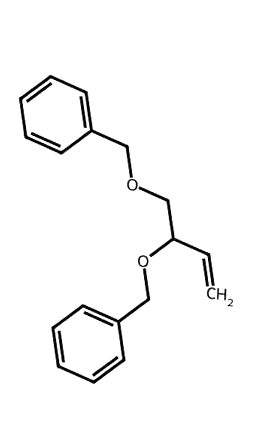 C=CC(COCc1ccccc1)OCc1ccccc1